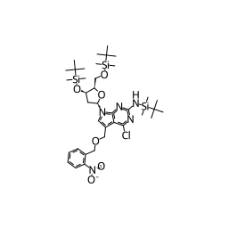 CC(C)(C)[Si](C)(C)Nc1nc(Cl)c2c(COCc3ccccc3[N+](=O)[O-])cn([C@H]3C[C@@H](O[Si](C)(C)C(C)(C)C)[C@@H](CO[Si](C)(C)C(C)(C)C)O3)c2n1